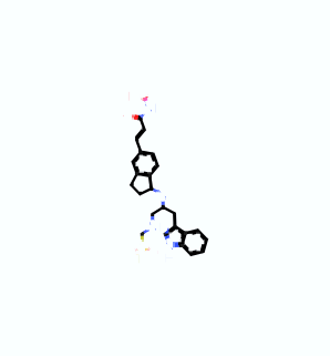 O=C(C=Cc1ccc2c(c1)CCC2NC(CNC[SH](=O)=O)Cc1c[nH]c2ccccc12)NO